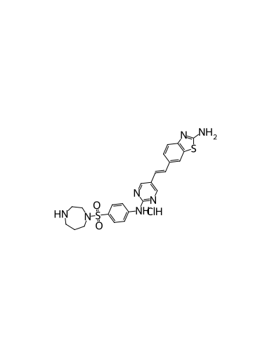 Cl.Nc1nc2ccc(C=Cc3cnc(Nc4ccc(S(=O)(=O)N5CCCNCC5)cc4)nc3)cc2s1